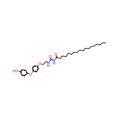 CCCCCCCCCCCCCCCCCC(=O)NC(=O)NCCOc1ccc(Oc2ccc(O)cc2)cc1